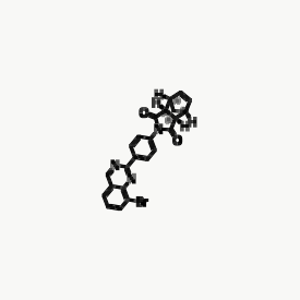 O=C1[C@@H]2[C@H](C(=O)N1c1ccc(-c3ncc4cccc(Br)c4n3)cc1)[C@@H]1C=C[C@H]2C1